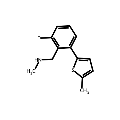 CNCc1c(F)cccc1-c1ccc(C)s1